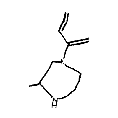 C=CC(=C)N1CCNC(C)C1